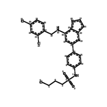 O=S(=O)(CCCCl)Nc1ccc(-c2cc(NCc3ccc(Cl)cc3Cl)n3nccc3n2)cc1